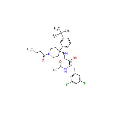 CCCC(=O)N1CCC(NC[C@@H](O)[C@H](Cc2cc(F)cc(F)c2)NC(C)=O)(c2cccc(C(C)(C)C)c2)CC1